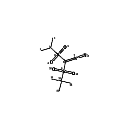 CC(C)S(=O)(=O)C(=[N+]=[N-])S(=O)(=O)C(C)(C)C